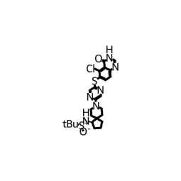 CC(C)(C)[S+]([O-])N[C@@H]1CCCC12CCN(c1cnc(Sc3ccc4nc[nH]c(=O)c4c3Cl)cn1)CC2